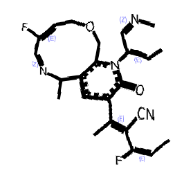 C/C=C(F)\C(C#N)=C(/C)c1cc2c(n(C(/C=N\C)=C/C)c1=O)COC/C=C(F)\C=N/C2C